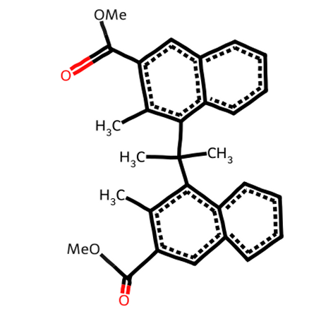 COC(=O)c1cc2ccccc2c(C(C)(C)c2c(C)c(C(=O)OC)cc3ccccc23)c1C